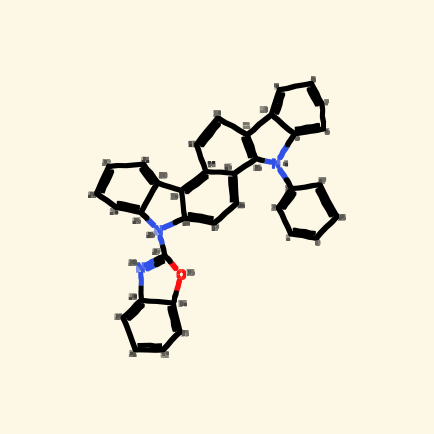 c1ccc(-n2c3ccccc3c3ccc4c(ccc5c4c4ccccc4n5-c4nc5ccccc5o4)c32)cc1